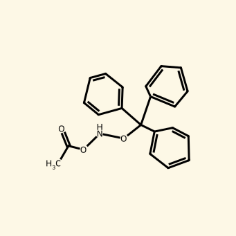 CC(=O)ONOC(c1ccccc1)(c1ccccc1)c1ccccc1